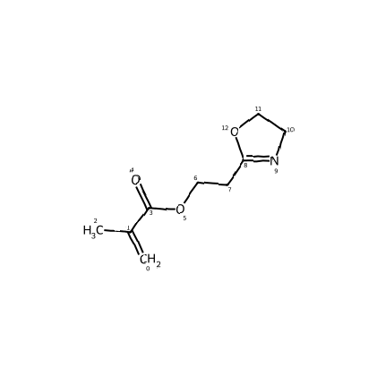 C=C(C)C(=O)OCCC1=NCCO1